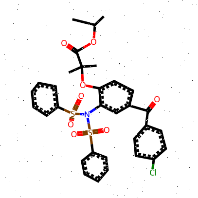 CC(C)OC(=O)C(C)(C)Oc1ccc(C(=O)c2ccc(Cl)cc2)cc1N(S(=O)(=O)c1ccccc1)S(=O)(=O)c1ccccc1